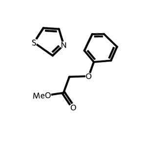 COC(=O)COc1ccccc1.c1cscn1